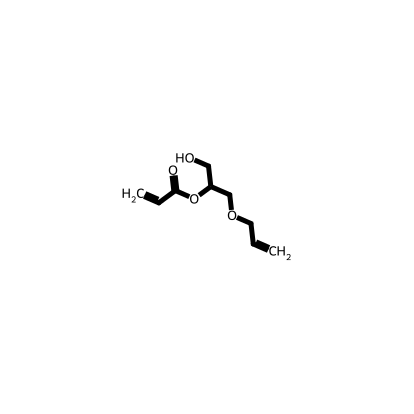 C=CCOCC(CO)OC(=O)C=C